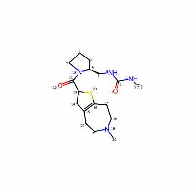 CCNC(=O)NC[C@@H]1CCCN1C(=O)C1CC2=C(CCN(C)CC2)S1